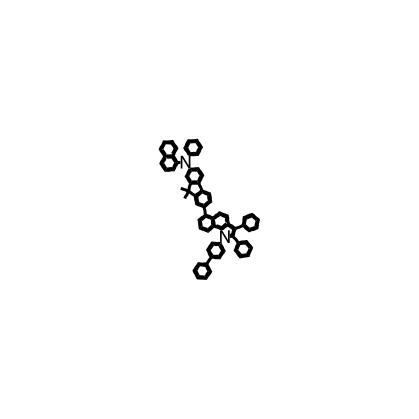 CC1(C)c2cc(-c3cccc4c3ccc3c(-c5ccccc5)c(-c5ccccc5)n(-c5ccc(-c6ccccc6)cc5)c34)ccc2-c2ccc(N(c3ccccc3)c3cccc4ccccc34)cc21